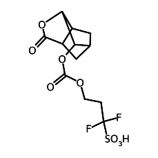 O=C(OCCC(F)(F)S(=O)(=O)O)OC1C2CC3C(=O)OC1C3C2